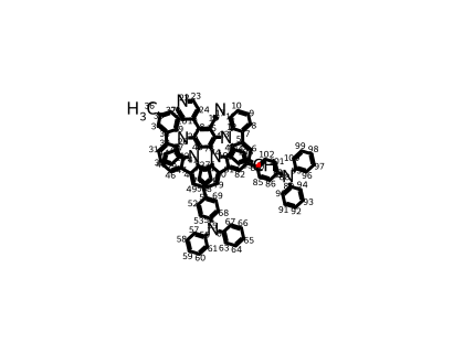 Cc1ccc2c(c1)c1ccccc1n2-c1c(C#N)c(-c2ccncc2)c(-n2c3ccccc3c3cc(C)ccc32)c(-n2c3ccccc3c3cc(-c4ccc(N(c5ccccc5)c5ccccc5)cc4)ccc32)c1-n1c2ccccc2c2cc(-c3ccc(N(c4ccccc4)c4ccccc4)cc3)ccc21